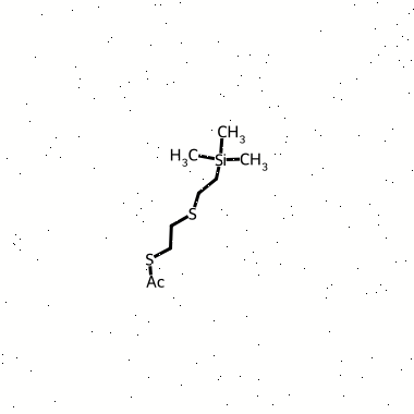 CC(=O)SCCSCC[Si](C)(C)C